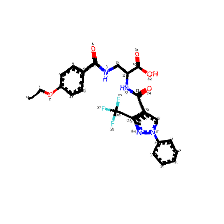 CCOc1ccc(C(=O)NCC(NC(=O)c2cn(-c3ccccc3)nc2C(F)(F)F)C(=O)O)cc1